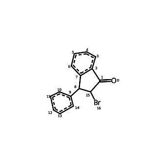 O=C1c2ccccc2C(c2ccccc2)C1Br